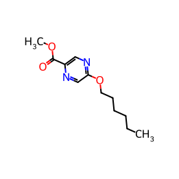 CCCCCCOc1cnc(C(=O)OC)cn1